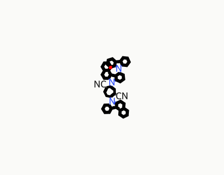 N#CC1=CCC(n2c3ccccc3c3c4ccccc4ccc32)=C(C#N)C=C1n1c2cccc(-n3c4ccccc4c4ccccc43)c2c2c3ccccc3ccc21